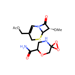 CO[C@H]1C(=O)N2C=C(COC(C)=O)CSC12.NC(=O)C1CNC2(CO1)OO2